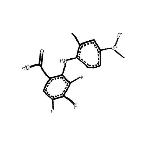 Cc1cc([S+](C)[O-])ccc1Nc1c(C(=O)O)cc(F)c(F)c1F